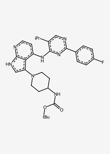 CC(C)c1cnc(-c2ccc(F)cc2)nc1Nc1ccnc2[nH]cc(N3CCC(NC(=O)OC(C)(C)C)CC3)c12